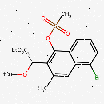 CCOC(=O)[C@@H](OC(C)(C)C)c1c(C)cc2c(Br)cccc2c1OS(C)(=O)=O